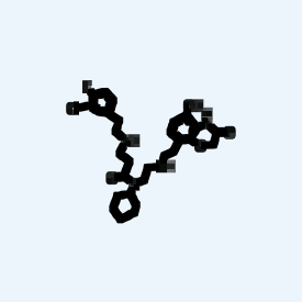 O=C1COc2c(CCNCCN(C(=O)CCNCCc3ccc(F)c(Cl)c3)C3CCCCC3)ccc(O)c2N1